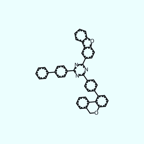 c1ccc(-c2ccc(-c3nc(-c4ccc(-c5cccc6c5-c5ccccc5CO6)cc4)nc(-c4ccc5oc6ccccc6c5c4)n3)cc2)cc1